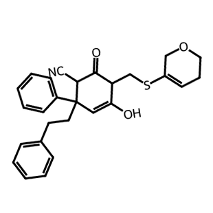 N#CC1C(=O)C(CSC2=CCCOC2)C(O)=CC1(CCc1ccccc1)c1ccccc1